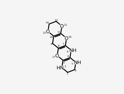 C1CNC2=C(N1)NC1=C(CC3=C(OCCO3)O1)O2